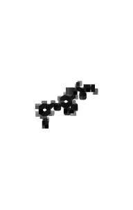 C[C@H](NCc1ccc(OCc2cccc(C#N)c2)c2c1OCO2)C(N)=O